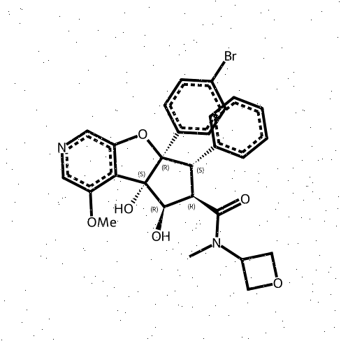 COc1cncc2c1[C@]1(O)[C@H](O)[C@H](C(=O)N(C)C3COC3)[C@@H](c3ccccc3)[C@]1(c1ccc(Br)cc1)O2